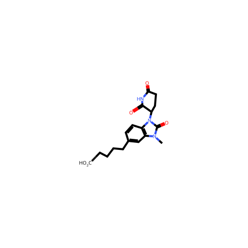 Cn1c(=O)n(C2CCC(=O)NC2=O)c2ccc(CCCCC(=O)O)cc21